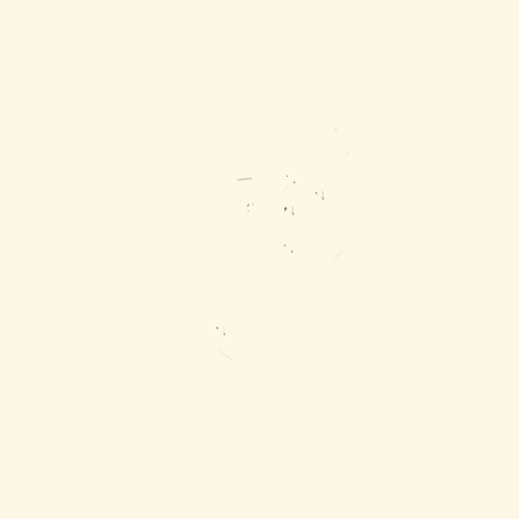 c1ccc(-c2nc(-c3ccccc3)nc(-c3ccccc3-n3c4ccccc4c4cc5cc(-n6c7ccccc7c7ccccc76)ccc5cc43)n2)cc1